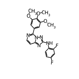 COc1cc(-c2nccc3nc(Nc4ccc(F)cc4F)nn23)cc(OC)c1OC